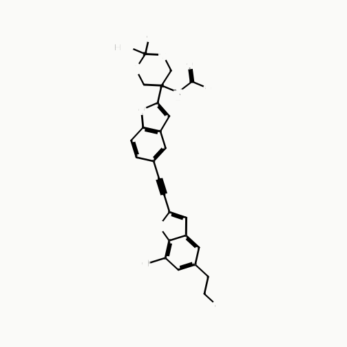 CCCc1cc(Cl)c2oc(C#Cc3ccc4oc(C5(NC(=O)O)COC(C)(C)OC5)cc4c3)cc2c1